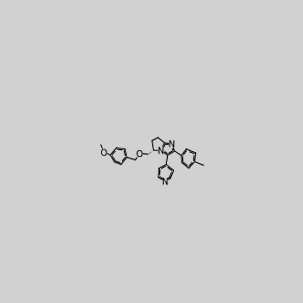 COc1ccc(COC[C@@H]2CCc3nc(-c4ccc(C)cc4)c(-c4ccncc4)n32)cc1